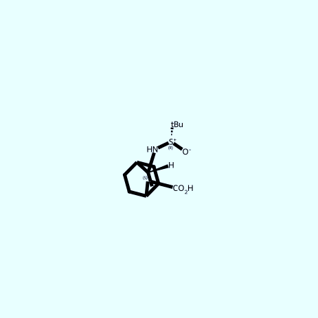 CC(C)(C)[S@+]([O-])N[C@@H]1C(C(=O)O)=C2CCC1CC2